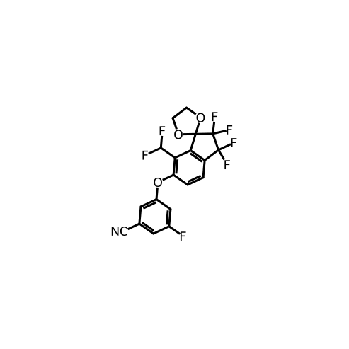 N#Cc1cc(F)cc(Oc2ccc3c(c2C(F)F)C2(OCCO2)C(F)(F)C3(F)F)c1